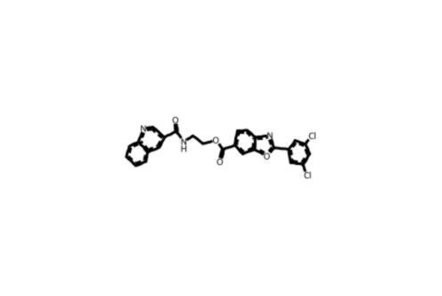 O=C(NCCOC(=O)c1ccc2nc(-c3cc(Cl)cc(Cl)c3)oc2c1)c1cnc2ccccc2c1